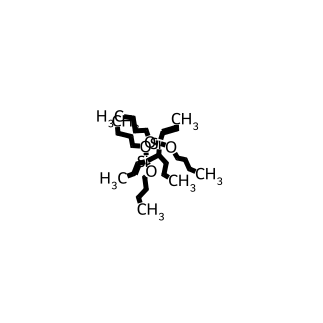 CC=C[Si](OCCCC)(OCCCC)C(CCC)[Si](C=CC)(OCCCC)OCCCC